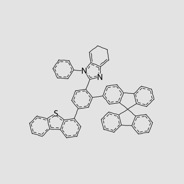 C1=c2nc(-c3ccc(-c4cccc5c4sc4ccccc45)cc3-c3ccc4c(c3)C3(c5ccccc5-c5ccccc53)c3ccccc3-4)n(-c3ccccc3)c2=CCC1